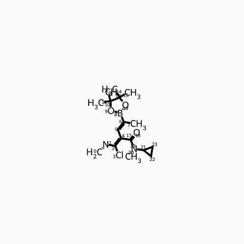 C=N/C(Cl)=C(\C=C(/C)B1OC(C)(C)C(C)(C)O1)C(=O)N(C)C1CC1